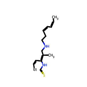 C/C=C\C=C/CCNC/C(C)=C(\C=C/CC)NC=S